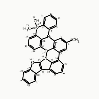 Cc1cc2c3c(c1)N1c4ccccc4S(C)(C)c4cccc(c41)B3n1c3oc4ccccc4c3c3cccc-2c31